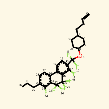 C=CCCC1CCC(OC(F)(F)c2ccc3c(c2F)C(F)(F)C(F)(F)c2c-3ccc(CCC)c2F)CC1